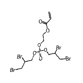 C=CC(=O)OCCOP(=O)(OCC(Br)CBr)OCC(Br)CBr